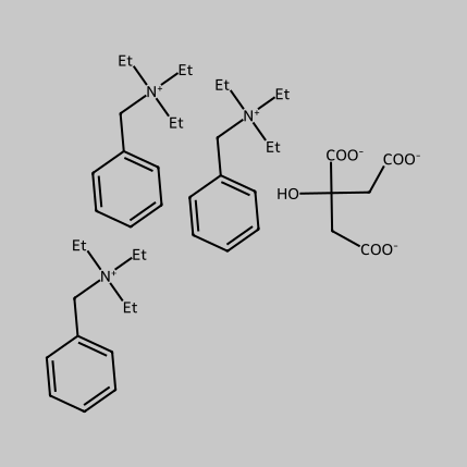 CC[N+](CC)(CC)Cc1ccccc1.CC[N+](CC)(CC)Cc1ccccc1.CC[N+](CC)(CC)Cc1ccccc1.O=C([O-])CC(O)(CC(=O)[O-])C(=O)[O-]